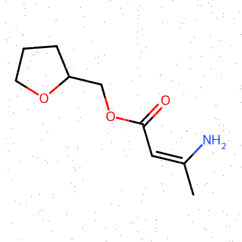 C/C(N)=C/C(=O)OCC1CCCO1